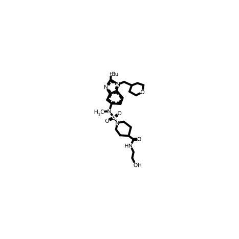 CN(c1ccc2c(c1)nc(C(C)(C)C)n2CC1CCOCC1)S(=O)(=O)N1CCC(C(=O)NCCO)CC1